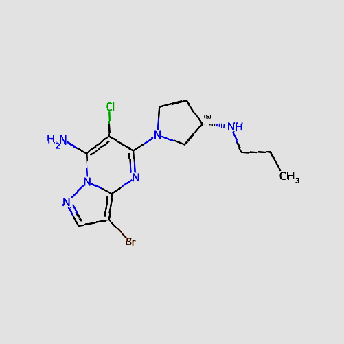 CCCN[C@H]1CCN(c2nc3c(Br)cnn3c(N)c2Cl)C1